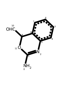 NC1=Nc2ccccc2C(C=O)O1